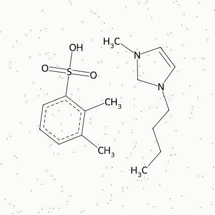 CCCCN1C=CN(C)C1.Cc1cccc(S(=O)(=O)O)c1C